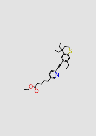 CCOC(=O)CCCCc1ccc(C#Cc2cc3c(cc2CC)SCCC3(CC)CC)nc1